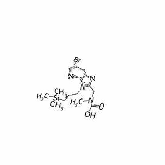 CN(Cc1nc2cc(Br)cnc2n1CCC[Si](C)(C)C)C(=O)O